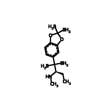 BC1(B)Oc2ccc(C(B)(B)[C@@H](CC)NC)cc2O1